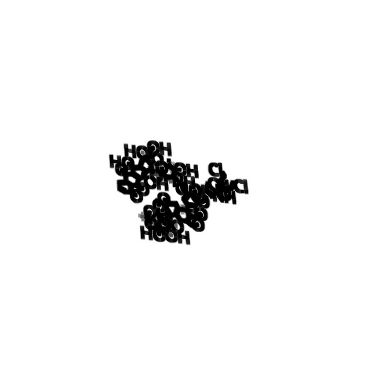 COc1cc([C@@H]2c3cc4c(cc3C(O[C@@H]3O[C@@H]5CO[C@@H](C)O[C@H]5[C@H](O)[C@H]3O)C3COC(=O)[C@@H]32)OCO4)cc(OC)c1O.COc1cccc2c1C(=O)c1c(O)c3c(c(O)c1C2=O)C[C@@](O)(C(=O)CO)C[C@@H]3O[C@H]1C[C@H](N)[C@H](O)[C@H](C)O1.O=P1(N(CCCl)CCCl)NCCCO1